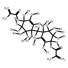 C=C(C)C(=O)OC1(OCC)C(OCC)=C(OCC)C(OCC)(C(C)(C)C2(OCC)C(OCC)=C(OCC)C(OCC)(OC(=O)C(=C)C)C(OCC)(OCC)C2(OCC)OCC)C(OCC)(OCC)C1(OCC)OCC